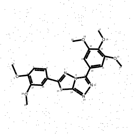 COc1ccc(-c2nn3c(-c4cc(OC)c(OC)c(OC)c4)nnc3s2)cc1OC